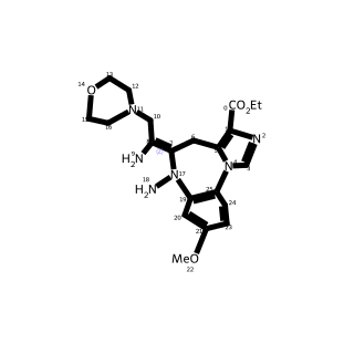 CCOC(=O)c1ncn2c1C/C(=C(/N)CN1CCOCC1)N(N)c1cc(OC)ccc1-2